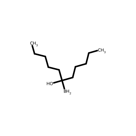 BC(O)(CCCCC)CCCCC